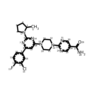 CC1CCCN1c1nc(-c2ccc(F)c(Cl)c2)cc(N2CCN(c3ncc(C(N)=O)cn3)CC2)n1